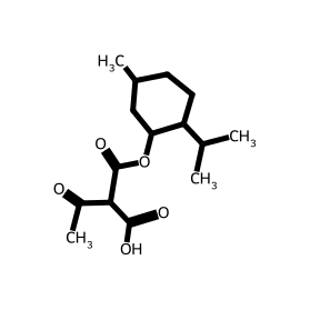 CC(=O)C(C(=O)O)C(=O)OC1CC(C)CCC1C(C)C